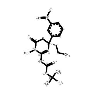 CCC[C@@]1(c2cccc([N+](=O)[O-])c2)CC(=O)N(C)C(NC(=O)OC(C)(C)C)=N1